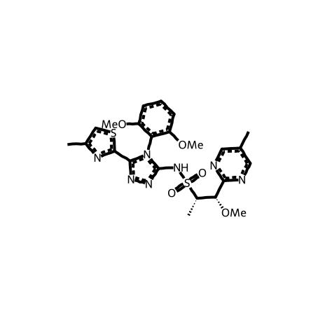 COc1cccc(OC)c1-n1c(NS(=O)(=O)[C@@H](C)[C@@H](OC)c2ncc(C)cn2)nnc1-c1nc(C)cs1